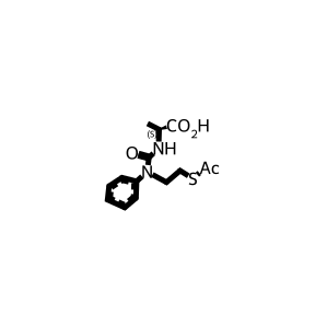 CC(=O)SCCN(C(=O)N[C@@H](C)C(=O)O)c1ccccc1